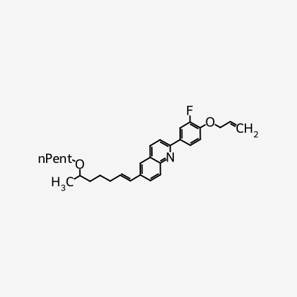 C=CCOc1ccc(-c2ccc3cc(C=CCCCC(C)OCCCCC)ccc3n2)cc1F